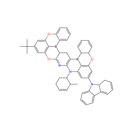 CC1C=CCCC1N1C2=C(CC3B4c5ccccc5Oc5cc(C(C)(C)C)cc(c54)OC3=N2)B2c3c(cc(N4c5ccccc5C5=CC=CCC54)cc31)OC1C=CC=CC21